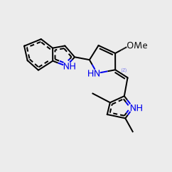 COC1=CC(c2cc3ccccc3[nH]2)N/C1=C\c1[nH]c(C)cc1C